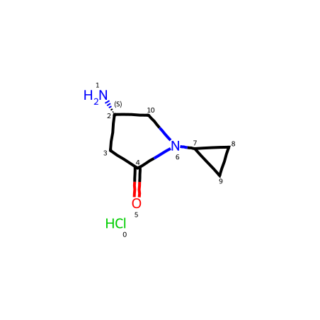 Cl.N[C@H]1CC(=O)N(C2CC2)C1